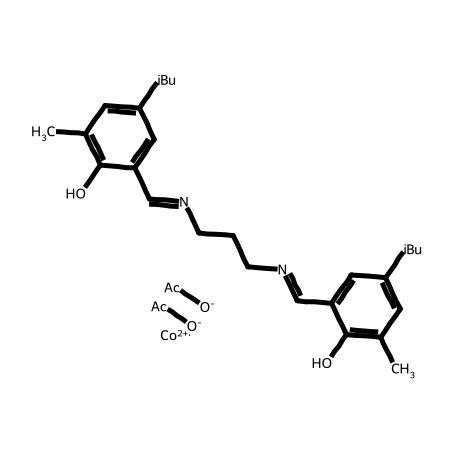 CC(=O)[O-].CC(=O)[O-].CCC(C)c1cc(C)c(O)c(C=NCCCN=Cc2cc(C(C)CC)cc(C)c2O)c1.[Co+2]